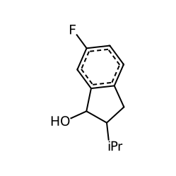 CC(C)C1Cc2ccc(F)cc2C1O